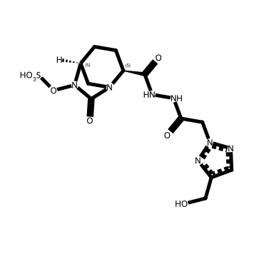 O=C(Cn1ncc(CO)n1)NNC(=O)[C@@H]1CC[C@H]2CN1C(=O)N2OS(=O)(=O)O